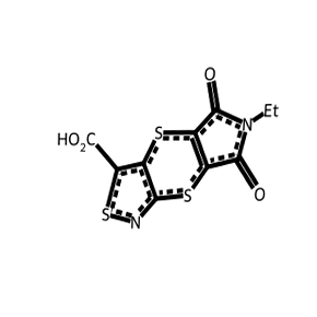 CCn1c(=O)c2sc3nsc(C(=O)O)c3sc=2c1=O